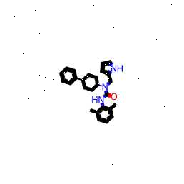 Cc1cccc(C)c1NC(=O)N(Cc1ccc[nH]1)[C@H]1CC[C@H](c2ccccc2)CC1